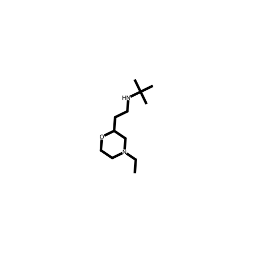 CCN1CCOC(CCNC(C)(C)C)C1